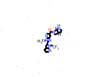 Cn1c(-c2cc3cccnc3n2CC(F)(F)F)nc2cc(C(=O)N3CC[C@@H]4CCN[C@@H]4C3)cnc21